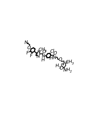 Cn1c(-c2ccc(OCC#N)c(F)c2F)cnc1C(=O)Nc1ccc(C(=O)NCCOCC[N+](C)(C)CC(N)=O)c(Cl)c1